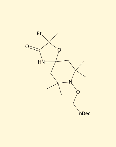 CCCCCCCCCCCON1C(C)(C)CC2(CC1(C)C)NC(=O)C(C)(CC)O2